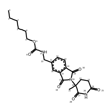 CCCCCCOC(=O)NCc1ccc2c(c1)C(=O)N(C1(C)CCC(=O)NC1=O)C2=O